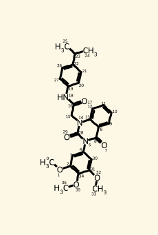 COc1cc(-n2c(=O)c3ccccc3n(CC(=O)Nc3ccc(C(C)C)cc3)c2=O)cc(OC)c1OC